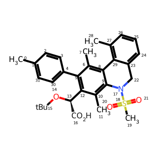 Cc1ccc(-c2c(C)c3c(c(C)c2[C@H](OC(C)(C)C)C(=O)O)N(S(C)(=O)=O)Cc2cccc(C)c2-3)cc1